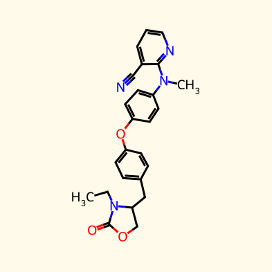 CCN1C(=O)OCC1Cc1ccc(Oc2ccc(N(C)c3ncccc3C#N)cc2)cc1